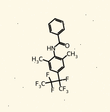 Cc1cc(C(F)(C(F)(F)F)C(F)(F)C(F)(F)F)cc(C)c1NC(=O)c1ccccc1